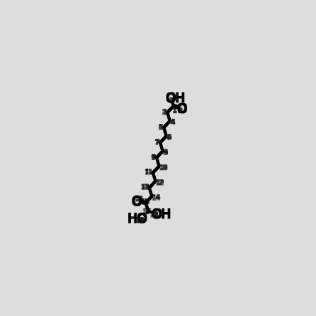 O=C(O)CCCCCCCCCCCCC(=O)C(O)O